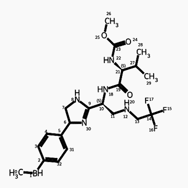 CBc1ccc(C2CNC([C@H](CNCC(F)(F)F)NC(=O)[C@@H](NC(=O)OC)C(C)C)=N2)cc1